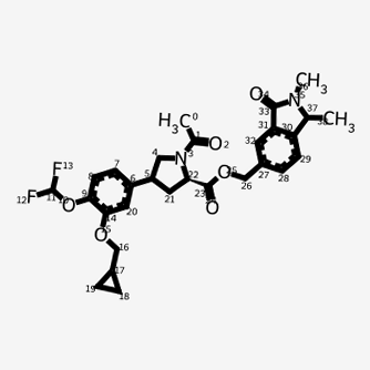 CC(=O)N1CC(c2ccc(OC(F)F)c(OCC3CC3)c2)C[C@@H]1C(=O)OCc1ccc2c(c1)C(=O)N(C)C2C